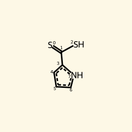 S=C(S)c1ccc[nH]1